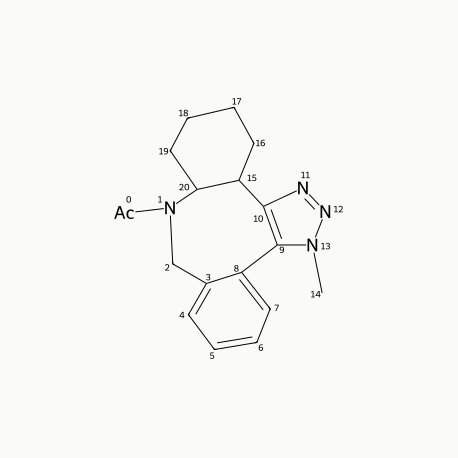 CC(=O)N1Cc2ccccc2-c2c(nnn2C)C2CCCCC21